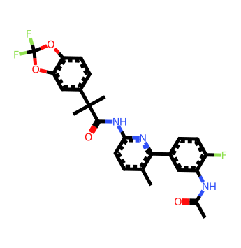 CC(=O)Nc1cc(-c2nc(NC(=O)C(C)(C)c3ccc4c(c3)OC(F)(F)O4)ccc2C)ccc1F